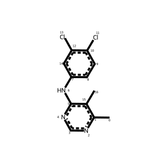 Cc1ncnc(Nc2ccc(Cl)c(Cl)c2)c1C